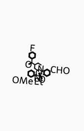 CCN(c1ccccc1OC)S(=O)(=O)c1ccc(C=O)cc1N1CCC(C(=O)c2ccc(F)cc2)CC1